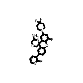 NC1=NC2(COC1)c1cc(-c3cccnc3F)ccc1Oc1c(F)cc(N3CCC(F)(F)CC3)cc12